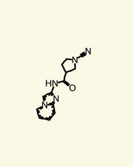 N#CN1CCC(C(=O)Nc2cn3ccccc3n2)C1